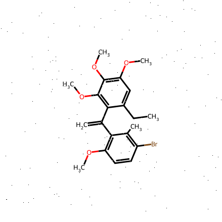 C=C(c1c(OC)ccc(Br)c1C)c1c(CC)cc(OC)c(OC)c1OC